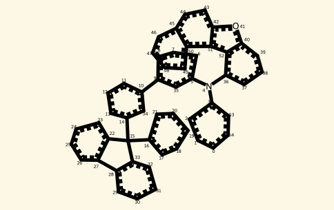 c1ccc(N(c2cccc(-c3cccc(C4(c5ccccc5)c5ccccc5-c5ccccc54)c3)c2)c2cccc3oc4ccc5ccccc5c4c23)cc1